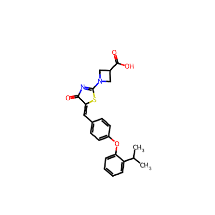 CC(C)c1ccccc1Oc1ccc(/C=C2\SC(N3CC(C(=O)O)C3)=NC2=O)cc1